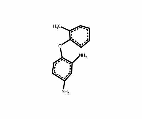 Cc1ccccc1Oc1ccc(N)cc1N